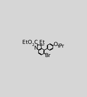 CCOC(=O)C1=Nc2ccc(Br)c(-c3ccc(OC(C)C)cc3)c2C1(C)CC